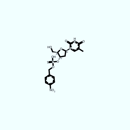 Cc1cn([C@H]2C[C@H](OP(O)(=S)OCc3ccc([N+](=O)[O-])cc3)[C@@H](CO)O2)c(=O)[nH]c1=O